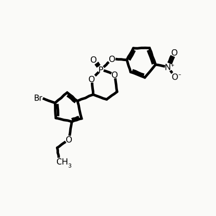 CCOc1cc(Br)cc(C2CCOP(=O)(Oc3ccc([N+](=O)[O-])cc3)O2)c1